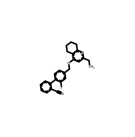 CCc1cc(OCc2ccc(-c3ccccc3C#N)c(F)c2)c2c(n1)CCCC2